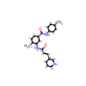 Cc1ccc(NC(=O)c2ccc(C)c(NC(=O)C=Cc3cccnc3)c2)cc1